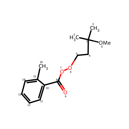 COC(C)(C)C[CH]OOC(=O)c1ccccc1C